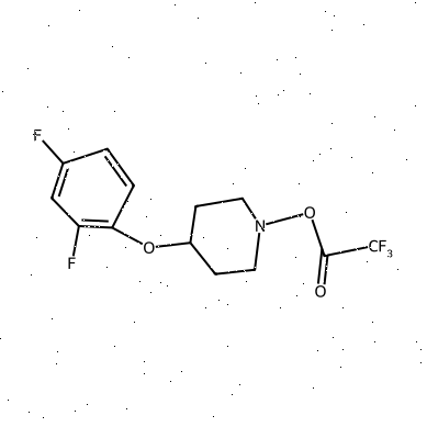 O=C(ON1CCC(Oc2ccc(F)cc2F)CC1)C(F)(F)F